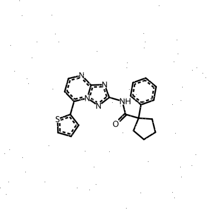 O=C(Nc1nc2nccc(-c3cccs3)n2n1)C1(c2ccccc2)CCCC1